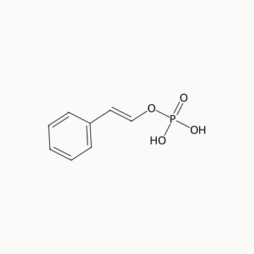 O=P(O)(O)OC=Cc1ccccc1